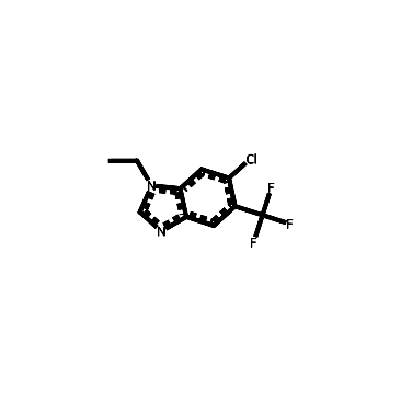 CCn1cnc2cc(C(F)(F)F)c(Cl)cc21